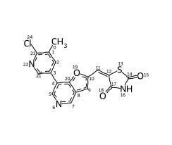 Cc1cc(-c2cncc3cc(C=C4SC(=O)NC4=O)oc23)cnc1Cl